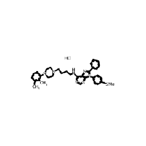 CSc1ccc(-n2c(-c3ccccc3)nc3c(NCCCCN4CCN(c5cccc(C)c5C)CC4)ncnc32)cc1.Cl